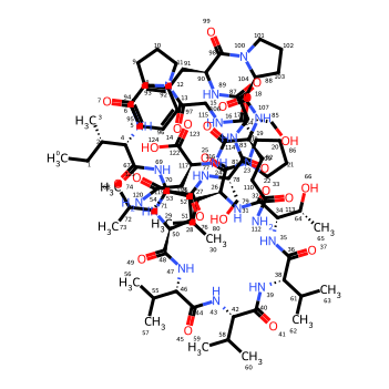 CC[C@H](C)[C@H](NC(=O)[C@@H]1CCCN1C(=O)CNC(=O)[C@@H]1CCCN1C(=O)[C@H](CC(C)C)NC(=O)[C@@H](NC(=O)[C@@H](NC(=O)[C@@H](NC(=O)[C@@H](NC(=O)[C@@H]1CCCN1)C(C)C)C(C)C)C(C)C)[C@@H](C)O)C(=O)N[C@@H](CC(C)C)C(=O)N[C@@H](CO)C(=O)N[C@@H](CO)C(=O)N[C@@H](Cc1ccccc1)C(=O)N1CCC[C@H]1C(=O)N[C@@H](CCC(N)=O)C(=O)N[C@@H](CC(N)=O)C(=O)O